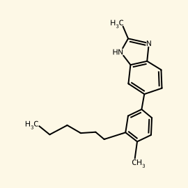 CCCCCCc1cc(-c2ccc3nc(C)[nH]c3c2)ccc1C